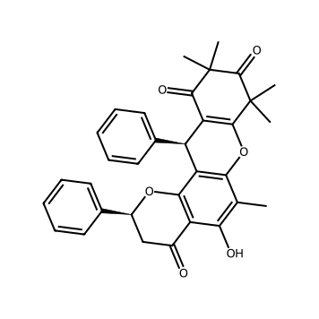 Cc1c(O)c2c(c3c1OC1=C(C(=O)C(C)(C)C(=O)C1(C)C)[C@@H]3c1ccccc1)O[C@H](c1ccccc1)CC2=O